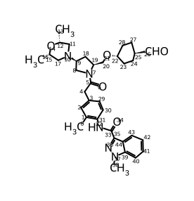 Cc1cc(CC(=O)N2C[C@@H](N3C[C@@H](C)O[C@@H](C)C3)C[C@H]2CO[C@H]2CC[C@H](C=O)CC2)ccc1NC(=O)c1nn(C)c2ccccc12